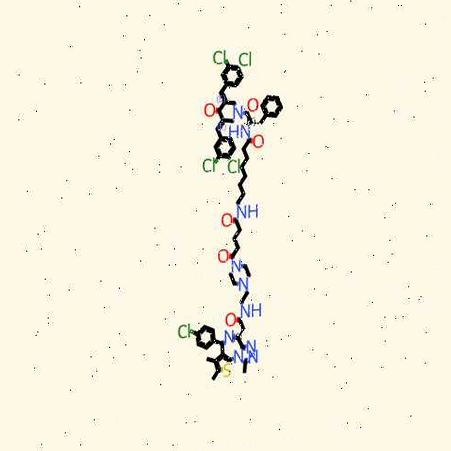 Cc1sc2c(c1C)C(c1ccc(Cl)cc1)=N[C@@H](CC(=O)NCCN1CCN(C(=O)CCCC(=O)NCCCCCCCC(=O)N[C@@H](Cc3ccccc3)C(=O)N3C/C(=C\c4ccc(Cl)c(Cl)c4)C(=O)/C(=C/c4ccc(Cl)c(Cl)c4)C3)CC1)c1nnc(C)n1-2